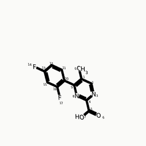 Cc1cnc(C(=O)O)nc1-c1ccc(F)cc1F